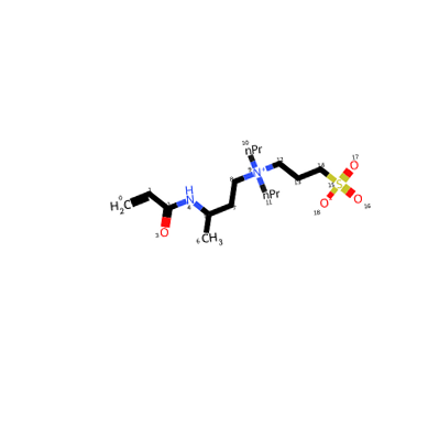 C=CC(=O)NC(C)CC[N+](CCC)(CCC)CCCS(=O)(=O)[O-]